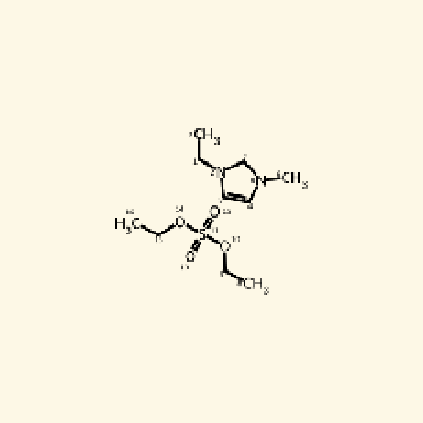 CCN1C=CN(C)C1.CCOS(=O)(=O)OCC